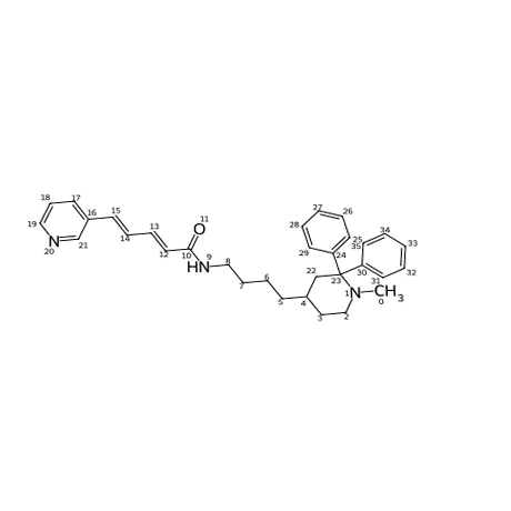 CN1CCC(CCCCNC(=O)C=CC=Cc2cccnc2)CC1(c1ccccc1)c1ccccc1